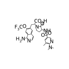 Cc1cc(S(=O)(=O)N[C@H]2CCN(C(Cc3cc4ccnc(N)c4cc3OC(F)(F)F)C(=O)O)C2=O)cnc1N(C)C